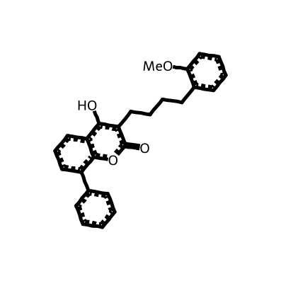 COc1ccccc1CCCCc1c(O)c2cccc(-c3ccccc3)c2oc1=O